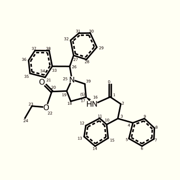 C=C(CC(c1ccccc1)c1ccccc1)N[C@H]1CC(C(=O)OCC)N(C(c2ccccc2)c2ccccc2)C1